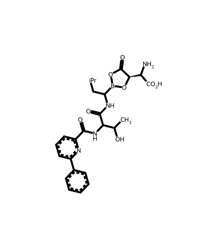 CC(C)CC(NC(=O)C(NC(=O)c1cccc(-c2ccccc2)n1)C(C)O)B1OC(=O)[C@@H](C(N)C(=O)O)O1